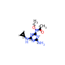 CON(C(C)=O)c1nc(N)nc(NC2CC2)n1